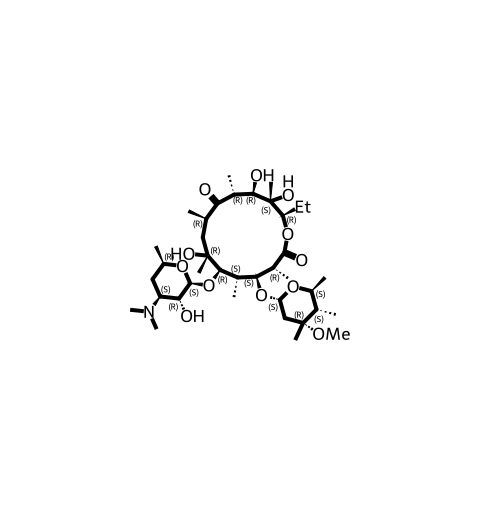 CC[C@H]1OC(=O)[C@H](C)[C@@H](O[C@H]2C[C@@](C)(OC)[C@@H](C)[C@H](C)O2)[C@H](C)[C@@H](O[C@@H]2O[C@H](C)C[C@H](N(C)C)[C@H]2O)[C@](C)(O)C[C@@H](C)C(=O)[C@H](C)[C@@H](O)[C@]1(C)O